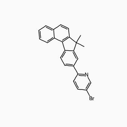 CC1(C)c2cc(-c3ccc(Br)cn3)ccc2-c2c1ccc1ccccc21